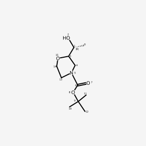 C[C@@H](O)C1CN(C(=O)OC(C)(C)C)CCO1